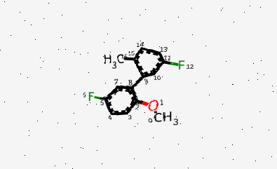 COc1ccc(F)cc1-c1cc(F)ccc1C